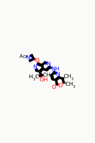 CC(=O)N1CC(Oc2ncc(C(C)(C)O)c3cc(Nc4ccc5c(n4)[C@@H](C)[C@H](C)OC5=O)ncc23)C1